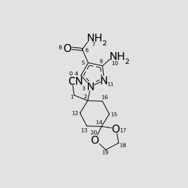 N#CCC1(n2cc(C(N)=O)c(N)n2)CCC2(CC1)OCCO2